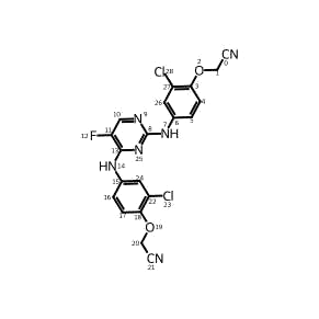 N#CCOc1ccc(Nc2ncc(F)c(Nc3ccc(OCC#N)c(Cl)c3)n2)cc1Cl